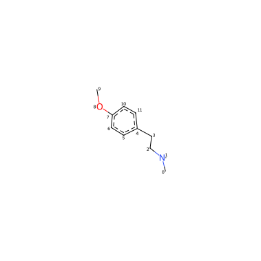 C[N]CCc1ccc(OC)cc1